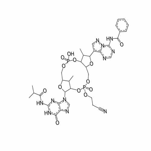 CC(C)C(=O)Nc1nc2c(ncn2C2OC3COP(=O)(O)OC4C(COP(=O)(OCCC#N)OC2C3C)OC(c2cnn3c(NC(=O)c5ccccc5)ncnc23)C4C)c(=O)[nH]1